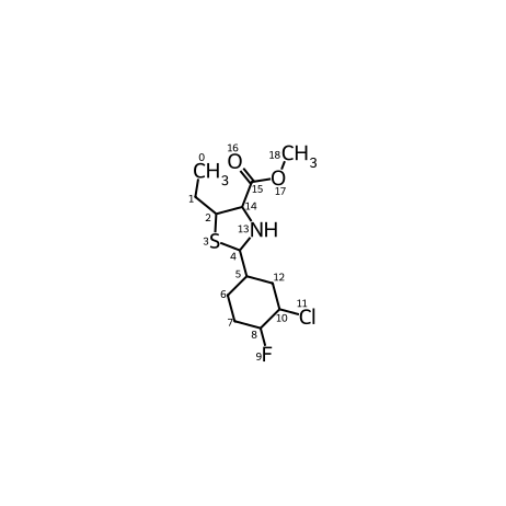 CCC1SC(C2CCC(F)C(Cl)C2)NC1C(=O)OC